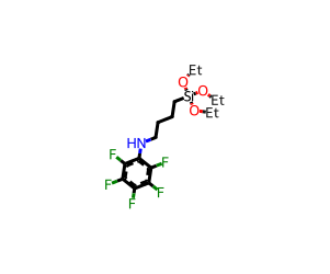 CCO[Si](CCCCNc1c(F)c(F)c(F)c(F)c1F)(OCC)OCC